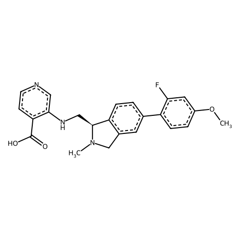 COc1ccc(-c2ccc3c(c2)CN(C)[C@H]3CNc2cnccc2C(=O)O)c(F)c1